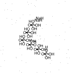 O=P(O)(O)O.O=P(O)(O)O.O=P(O)(O)O.O=P(O)(O)O.O=P(O)(O)O.O=P(O)(O)O.[NaH].[NaH]